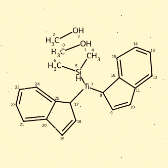 CO.CO.C[SiH](C)[Ti]([CH]1C=Cc2ccccc21)[CH]1C=Cc2ccccc21